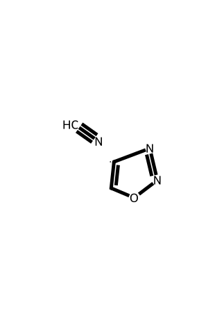 C#N.[c]1conn1